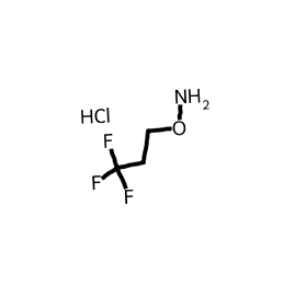 Cl.NOCCC(F)(F)F